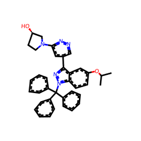 CC(C)Oc1ccc2c(c1)c(-c1cnnc(N3CC[C@@H](O)C3)c1)nn2C(c1ccccc1)(c1ccccc1)c1ccccc1